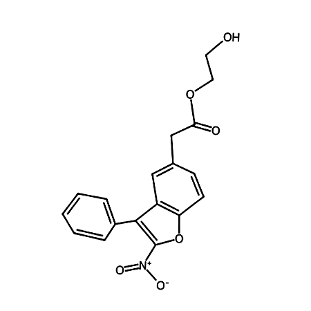 O=C(Cc1ccc2oc([N+](=O)[O-])c(-c3ccccc3)c2c1)OCCO